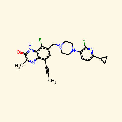 CC#Cc1cc(CN2CCN(c3ccc(C4CC4)nc3F)CC2)c(F)c2[nH]c(=O)c(C)nc12